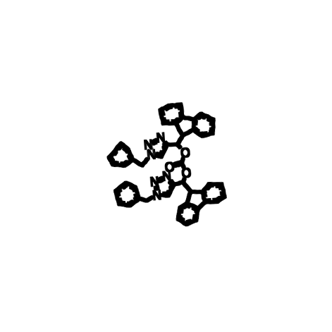 O=C(OC(c1cn(Cc2ccccc2)nn1)C1c2ccccc2-c2ccccc21)OC(c1cn(Cc2ccccc2)nn1)C1c2ccccc2-c2ccccc21